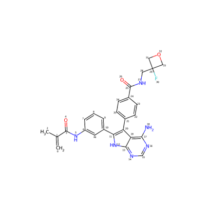 C=C(C)C(=O)Nc1cccc(-c2[nH]c3ncnc(N)c3c2-c2ccc(C(=O)NCC3(F)COC3)cc2)c1